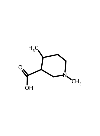 CC1CCN(C)CC1C(=O)O